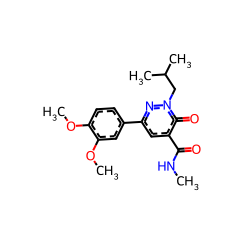 CNC(=O)c1cc(-c2ccc(OC)c(OC)c2)nn(CC(C)C)c1=O